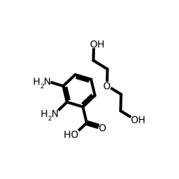 Nc1cccc(C(=O)O)c1N.OCCOCCO